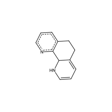 C1=CNC2C(=C1)CCc1cccnc12